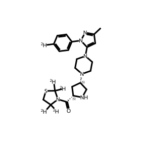 [2H]c1ccc(-n2nc(C)cc2N2CCN([C@@H]3CN[C@H](C(=O)N4C([2H])([2H])CSC4([2H])[2H])C3)CC2)cc1